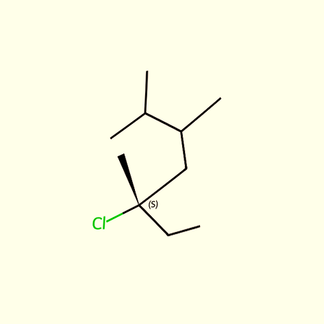 CC[C@](C)(Cl)CC(C)C(C)C